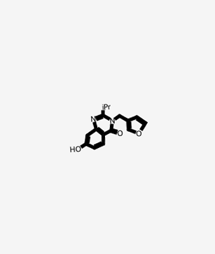 CC(C)c1nc2cc(O)ccc2c(=O)n1Cc1ccoc1